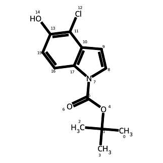 CC(C)(C)OC(=O)n1ccc2c(Cl)c(O)ccc21